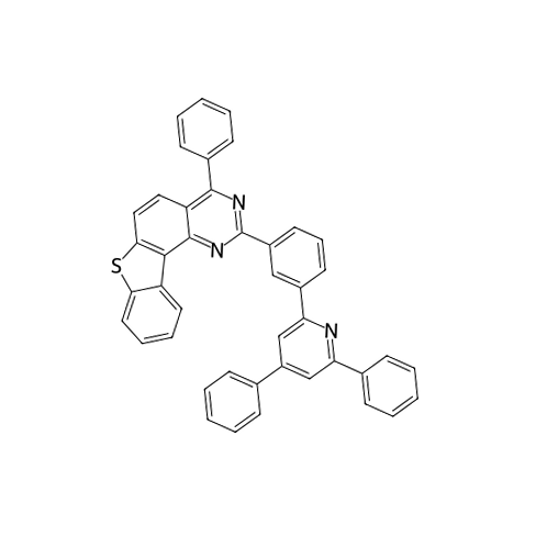 c1ccc(-c2cc(-c3ccccc3)nc(-c3cccc(-c4nc(-c5ccccc5)c5ccc6sc7ccccc7c6c5n4)c3)c2)cc1